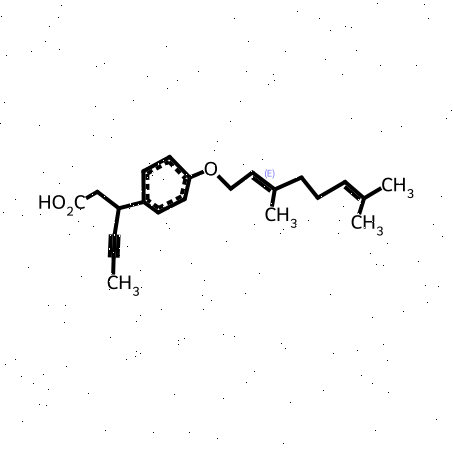 CC#CC(CC(=O)O)c1ccc(OC/C=C(\C)CCC=C(C)C)cc1